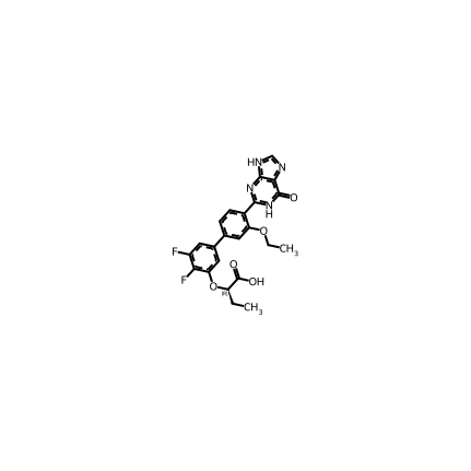 CCOc1cc(-c2cc(F)c(F)c(O[C@H](CC)C(=O)O)c2)ccc1-c1nc2[nH]cnc2c(=O)[nH]1